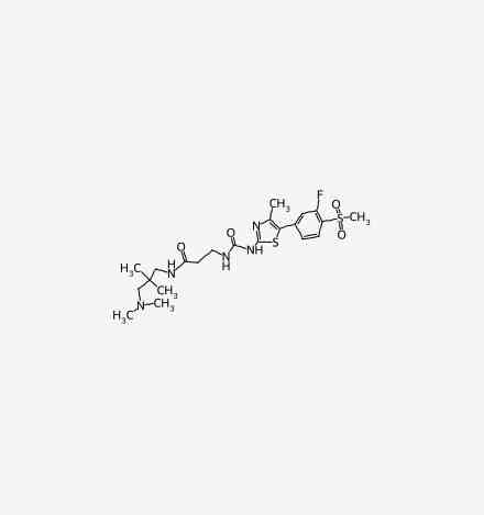 Cc1nc(NC(=O)NCCC(=O)NCC(C)(C)CN(C)C)sc1-c1ccc(S(C)(=O)=O)c(F)c1